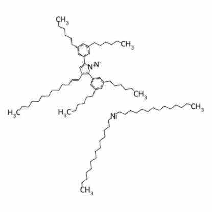 CCCCCCCCCCCC=CC1=C(c2cc(CCCCCC)cc(CCCCCC)c2)[N+](=[N-])C(c2cc(CCCCCC)cc(CCCCCC)c2)=C1.CCCCCCCCCCCCC[CH2][Ni][CH2]CCCCCCCCCCCCC